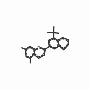 Cc1cc(C)c2ccc(-c3cc(C(C)(C)C)c4ccccc4c3)nc2c1